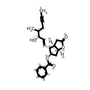 CC#CCC(C)[C@@H](O)C=C[C@@H]1[C@H]2CC(=O)O[C@H]2C[C@H]1OC(=O)c1ccccc1